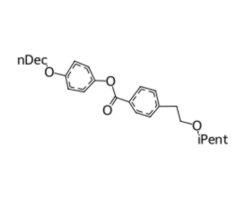 CCCCCCCCCCOc1ccc(OC(=O)c2ccc(CCOC(C)CCC)cc2)cc1